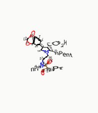 CCCCC[C@@H]1[C@@H](C(=O)O)C(c2ccc3c(c2)OCO3)CN1CCN(CCC)S(=O)(=O)CCC